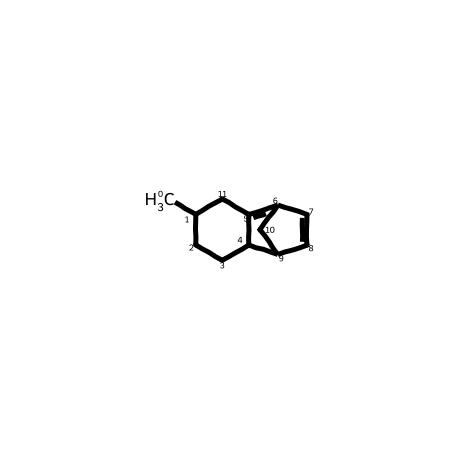 CC1CCC2C(=C3C=CC2C3)C1